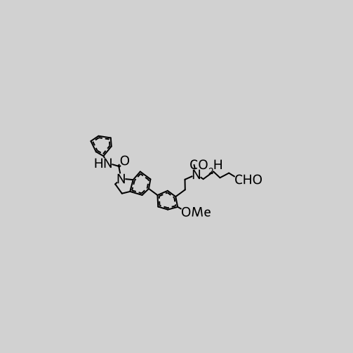 COc1ccc(-c2ccc3c(c2)CCN3C(=O)Nc2ccccc2)cc1CCN(CCCCC=O)C(=O)O